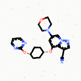 N#Cc1cnn2cc(N3CCOCC3)cc(O[C@H]3CC[C@@H](Oc4ncccn4)CC3)c12